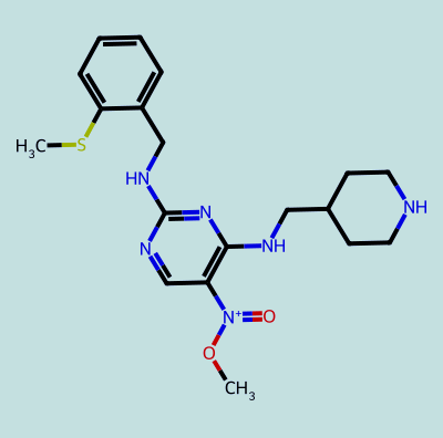 CO[N+](=O)c1cnc(NCc2ccccc2SC)nc1NCC1CCNCC1